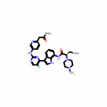 CNC(=O)Cc1ccc(Nc2ncc(F)c(-c3c[nH]c4c(NC(=O)[C@@H](COC)N5CCN(C)CC5)cccc34)n2)cn1